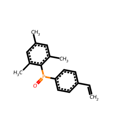 C=Cc1ccc([P](=O)c2c(C)cc(C)cc2C)cc1